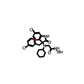 CC(C)(C)NC(=O)CN(C1CCCCC1)C1(Cc2cccc(Cl)c2)C(=O)Nc2cc(Cl)ccc21